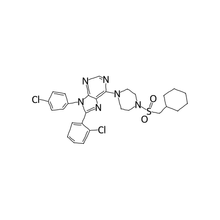 O=S(=O)(CC1CCCCC1)N1CCN(c2ncnc3c2nc(-c2ccccc2Cl)n3-c2ccc(Cl)cc2)CC1